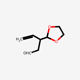 C=CC(CC=O)C1OCCO1